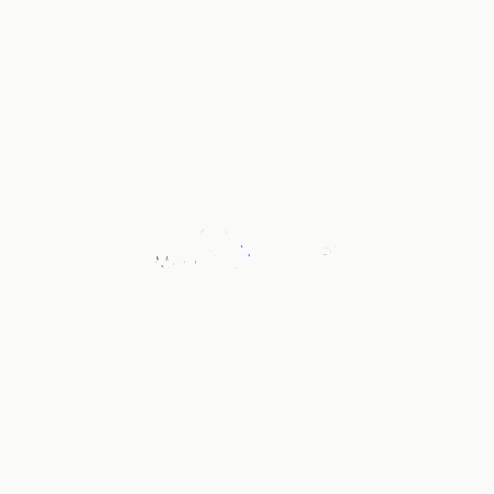 COc1cccc2c1ccn2CCCCBr